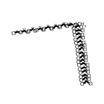 CCOC(C)=O.ClCCl.ClCCl.ClCCl.ClCCl.ClCCl.ClCCl.ClCCl.ClCCl.ClCCl.ClCCl.ClCCl.ClCCl.ClCCl.ClCCl.ClCCl.ClCCl.ClCCl.ClCCl.ClCCl.ClCCl.ClCCl.ClCCl.ClCCl.ClCCl